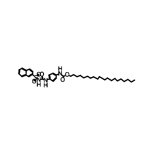 CCCCCCCCCCCCCCCCCCCCOC(=O)Nc1ccc(NC(=O)NS(=O)(=O)c2ccc3ccccc3c2)cc1